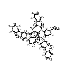 CC(C)(C)c1ccc(Nc2cc3sc4ccccc4c3cc2-c2ccc3c4cc5sc6ccccc6c5cc4n4c3c2Bc2cc3oc5ccccc5c3cc2-4)cc1